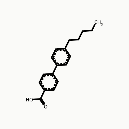 CCCCCc1ccc(-c2ccc(C(=O)O)cc2)cc1